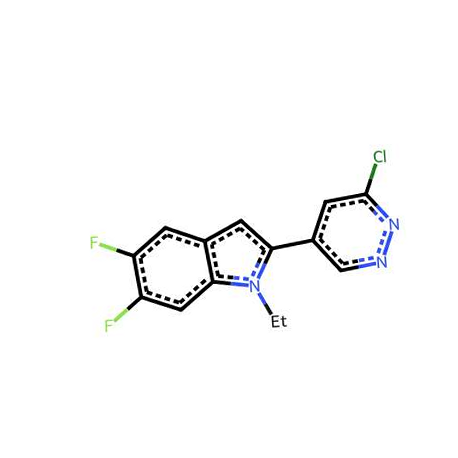 CCn1c(-c2cnnc(Cl)c2)cc2cc(F)c(F)cc21